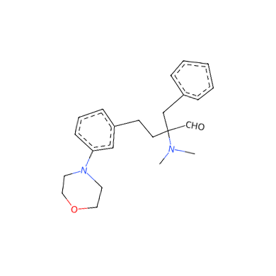 CN(C)C(C=O)(CCc1cccc(N2CCOCC2)c1)Cc1ccccc1